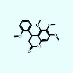 COc1ccccc1C1CC(=O)Nc2cc(OC)c(OC)c(OC)c21